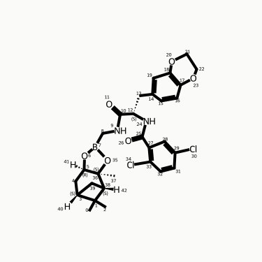 CC1(C)[C@@H]2C[C@H]3OB(CNC(=O)[C@H](Cc4ccc5c(c4)OCCO5)NC(=O)c4cc(Cl)ccc4Cl)O[C@@]3(C)[C@H]1C2